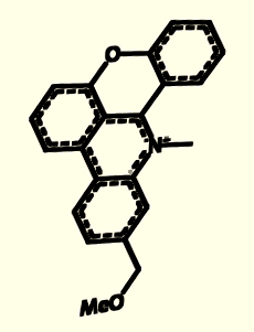 COCc1ccc2c3cccc4c3c([n+](C)c2c1)-c1ccccc1O4